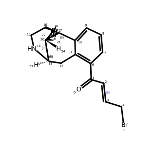 O=C(/C=C/CBr)c1cccc2c1C[C@H]1NCC[C@@]23C#CCC[C@@H]13